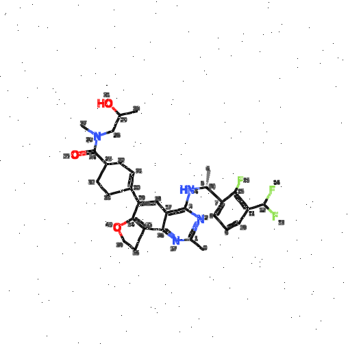 Cc1nc(N[C@H](C)c2cccc(C(F)F)c2F)c2cc(C3=CCC(C(=O)N(C)CC(C)O)CC3)c3c(c2n1)CCO3